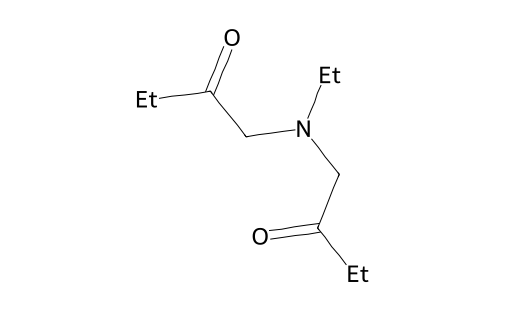 CCC(=O)CN(CC)CC(=O)CC